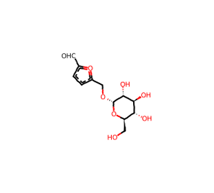 O=Cc1ccc(CO[C@H]2O[C@H](CO)[C@@H](O)[C@H](O)[C@H]2O)o1